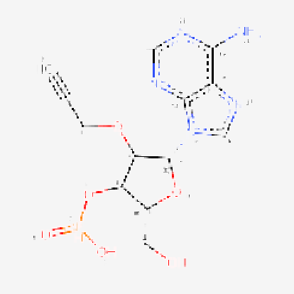 C#CCOC1C(O[PH](=O)O)[C@@H](CO)O[C@H]1n1cnc2c(N)ncnc21